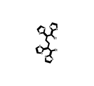 CCC(=C1SC=CS1)C(CCC(=C1SC=CS1)C(CC)=C1SC=CS1)=C1SC=CS1